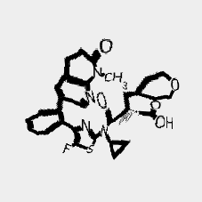 CN1C(=O)CCc2cc(-c3ccccc3-c3nc(N(C(=O)[C@@H](CC(=O)O)CC4CCOCC4)C4CC4)sc3F)cnc21